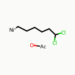 CC(=O)[O-].ClC(Cl)CCCC[CH2][Ni+]